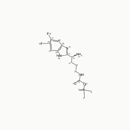 CC(C)(C)OC(=O)NCCC[C@H](N)c1nc2cc(F)c(F)cc2[nH]1